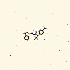 CC(C)c1ccc([C@](O)(c2cnnc(CCC(C)(O)c3ccccc3)c2)C2(C)CN(C)C2)cc1